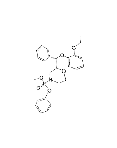 CCOc1ccccc1OC(c1ccccc1)C1CN(P(=O)(OC)Oc2ccccc2)CCO1